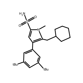 Cn1c(S(N)(=O)=O)cc(-c2cc(C(C)(C)C)cc(C(C)(C)C)c2)c1CC1CCCCC1